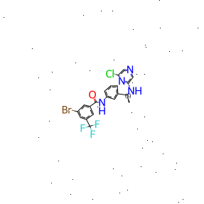 C[C@H](Nc1cncc(Cl)n1)c1cccc(NC(=O)c2cc(Br)cc(C(F)(F)F)c2)c1